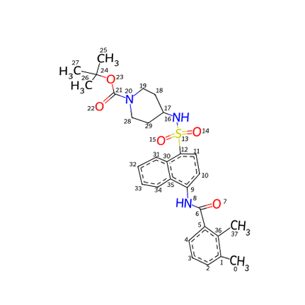 Cc1cccc(C(=O)Nc2ccc(S(=O)(=O)NC3CCN(C(=O)OC(C)(C)C)CC3)c3ccccc23)c1C